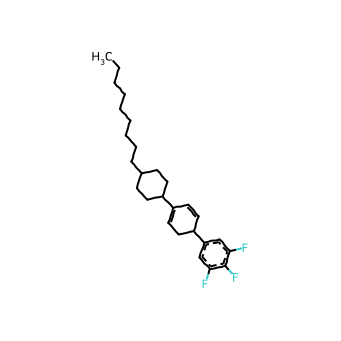 CCCCCCCCCC1CCC(C2=CCC(c3cc(F)c(F)c(F)c3)C=C2)CC1